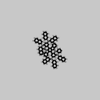 c1ccc2c(c1)B1c3c(cc(N(c4ccc5ccccc5c4)c4ccc5ccccc5c4)cc3N2c2ccc3ccccc3c2)-c2c3c(c4c5c2c2ccccc2n5B2c5c-4cc(N(c4ccc6ccccc6c4)c4ccc6ccccc6c4)cc5N(c4ccc5ccccc5c4)c4ccc5ccccc5c42)-c2ccccc2C13